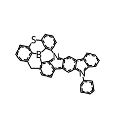 c1ccc(-n2c3ccccc3c3cc4c(cc32)c2ccc3c5c2n4-c2cccc4c2B5c2c(cccc2S4)C3)cc1